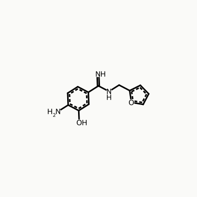 N=C(NCc1ccco1)c1ccc(N)c(O)c1